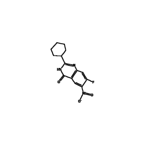 O=c1[nH]c(C2CCCCC2)nc2cc(F)c([N+](=O)[O-])cc12